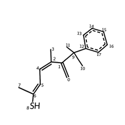 C=C(/C(C)=C\C=C(/C)S)C(C)(C)c1ccccc1